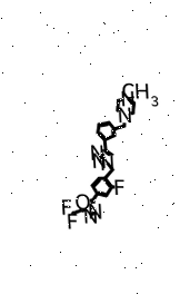 CN1CCN(Cc2cccc(-c3cn(Cc4ccc(-c5nnc(C(F)F)o5)cc4F)nn3)c2)CC1